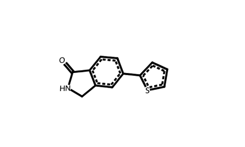 O=C1NCc2cc(-c3cccs3)ccc21